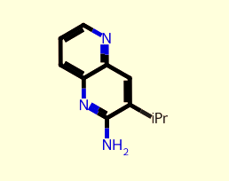 CC(C)c1cc2ncccc2nc1N